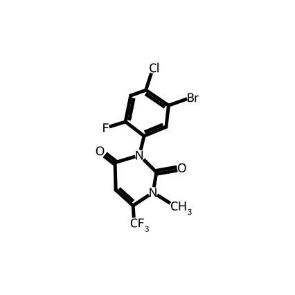 Cn1c(C(F)(F)F)cc(=O)n(-c2cc(Br)c(Cl)cc2F)c1=O